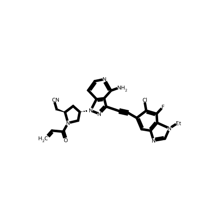 C=CC(=O)N1C[C@@H](n2nc(C#Cc3cc4ncn(CC)c4c(F)c3Cl)c3c(N)nccc32)C[C@@H]1CC#N